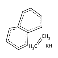 C=C.[KH].c1ccc2ccccc2c1